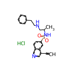 C#Cc1cncc2ccc(S(=O)(=O)NC(C)CNCCc3ccccc3)cc12.Cl